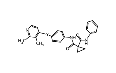 Cc1ncc[c]([Y][c]2ccc(NC(=O)C3(C(=O)Nc4ccccc4)CC3)cc2)c1C